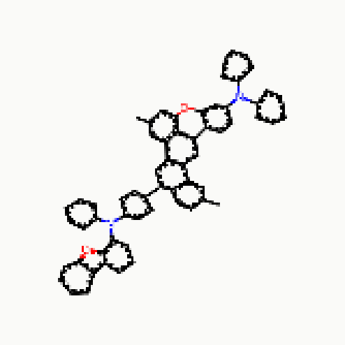 Cc1ccc2c(-c3ccc(N(c4ccccc4)c4cccc5c4oc4ccccc45)cc3)cc3c4cc(C)cc5c4c(cc3c2c1)-c1ccc(N(c2ccccc2)c2ccccc2)cc1O5